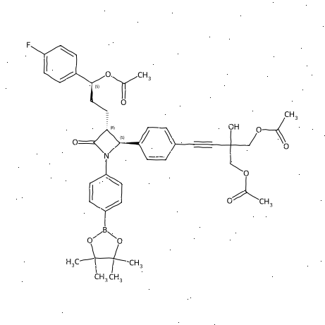 CC(=O)OCC(O)(C#Cc1ccc([C@@H]2[C@@H](CC[C@H](OC(C)=O)c3ccc(F)cc3)C(=O)N2c2ccc(B3OC(C)(C)C(C)(C)O3)cc2)cc1)COC(C)=O